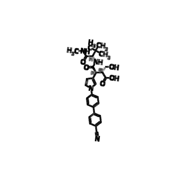 CNC(=O)[C@@H](NC(=O)[C@H](c1ccn(-c2ccc(-c3ccc(C#N)cc3)cc2)c1)[C@H](CO)C(=O)O)C(C)(C)C